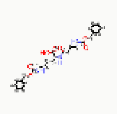 O=C(CCCNC(=O)OCc1ccccc1)N[C@@H](CCCCNC(=O)OCc1ccccc1)C(=O)O